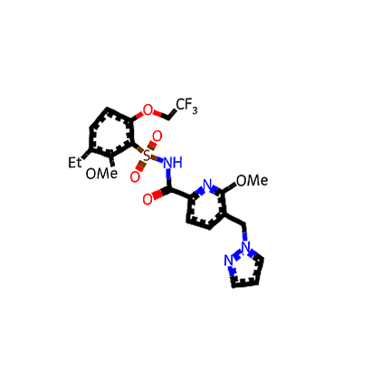 CCc1ccc(OCC(F)(F)F)c(S(=O)(=O)NC(=O)c2ccc(Cn3cccn3)c(OC)n2)c1OC